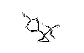 NS(=O)(=O)C1(c2ccc(Br)cc2)CC1